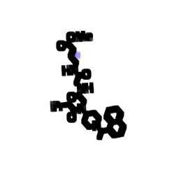 COC(=O)/C=C/CNC(=O)CNC(=O)CN(C(=O)CC(C)C)C1CCN(C(C)c2cccc3ccccc23)CC1